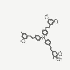 COc1cc(C)cc(C=Cc2ccc(N(c3ccc(C=Cc4cc(OC)cc(OC)c4)cc3)c3ccc(C=Cc4cc(C)c(OC)c(OC)c4)cc3)cc2)c1